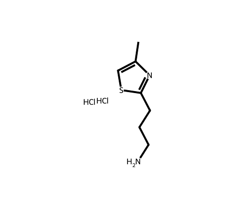 Cc1csc(CCCN)n1.Cl.Cl